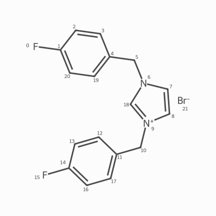 Fc1ccc(Cn2cc[n+](Cc3ccc(F)cc3)c2)cc1.[Br-]